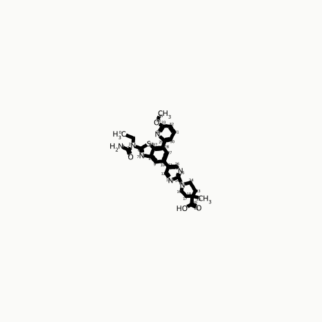 CCN(C(N)=O)c1nc2cc(-c3cnc(N4CCC(C)(C(=O)O)CC4)nc3)cc(-c3cccc(OC)n3)c2s1